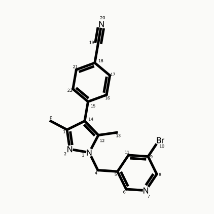 Cc1nn(Cc2cncc(Br)c2)c(C)c1-c1ccc(C#N)cc1